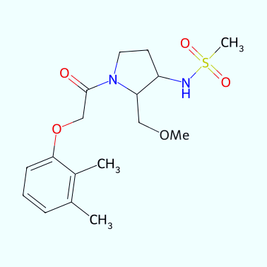 COCC1C(NS(C)(=O)=O)CCN1C(=O)COc1cccc(C)c1C